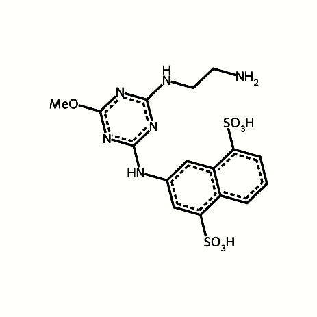 COc1nc(NCCN)nc(Nc2cc(S(=O)(=O)O)c3cccc(S(=O)(=O)O)c3c2)n1